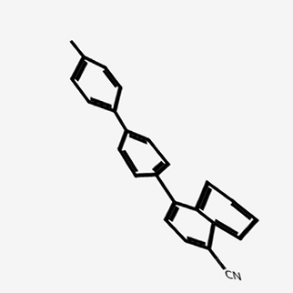 Cc1ccc(-c2ccc(-c3ccc(C#N)c4ccccc34)cc2)cc1